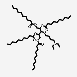 CCCCCCCCCC(=O)OCC(OC(=O)CCCCCCCCC)C(OCCCCN(CC)CC)C(COC(=O)CCCCCCCCC)OC(=O)CCCCCCCCC